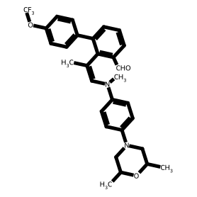 C/C(=C/N(C)c1ccc(N2CC(C)OC(C)C2)cc1)c1c(C=O)cccc1-c1ccc(OC(F)(F)F)cc1